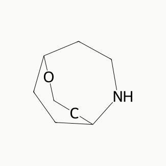 C1CC2CCC(CCO2)N1